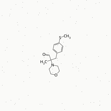 CSc1ccc([CH]C(C)(C=O)N2CCOCC2)cc1